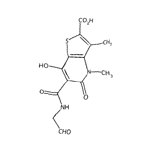 Cc1c(C(=O)O)sc2c(O)c(C(=O)NCC=O)c(=O)n(C)c12